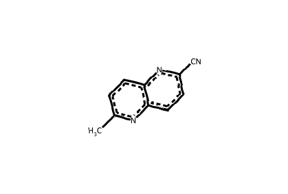 Cc1ccc2nc(C#N)ccc2n1